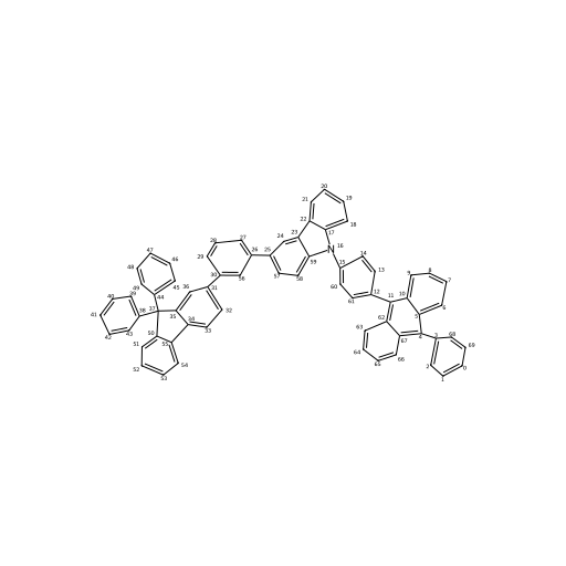 c1ccc(-c2c3ccccc3c(-c3ccc(-n4c5ccccc5c5cc(-c6cccc(-c7ccc8c(c7)C(c7ccccc7)(c7ccccc7)c7ccccc7-8)c6)ccc54)cc3)c3ccccc23)cc1